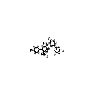 C[C@@H]1CN(c2ncc(F)c(Nc3cc(-c4ccc(F)cc4)c(N)nn3)n2)C[C@H](C)O1